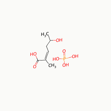 CC(=CCC(C)O)C(=O)O.O=P(O)(O)O